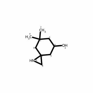 CC1(C)CC(O)CC2(CN2)C1